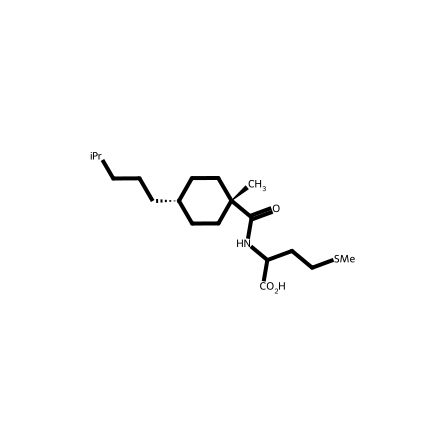 CSCCC(NC(=O)[C@]1(C)CC[C@H](CCCC(C)C)CC1)C(=O)O